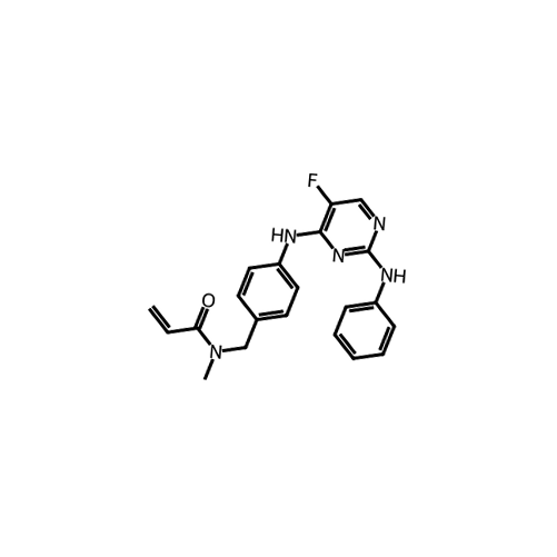 C=CC(=O)N(C)Cc1ccc(Nc2nc(Nc3ccccc3)ncc2F)cc1